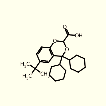 CC(C)(C)c1ccc2c(c1)C(C1CCCCC1)(C1CCCCC1)OC(C(=O)O)O2